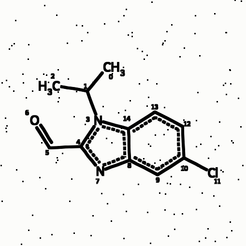 CC(C)n1c(C=O)nc2cc(Cl)ccc21